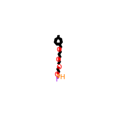 CC1C=CC=C(COCCCOCCOCCOPI)C=C1